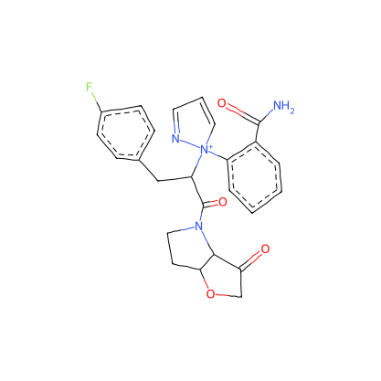 NC(=O)c1ccccc1[N+]1(C(Cc2ccc(F)cc2)C(=O)N2CCC3OCC(=O)C32)C=CC=N1